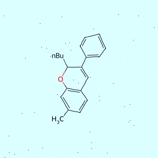 CCCCC1Oc2cc(C)ccc2C=C1c1ccccc1